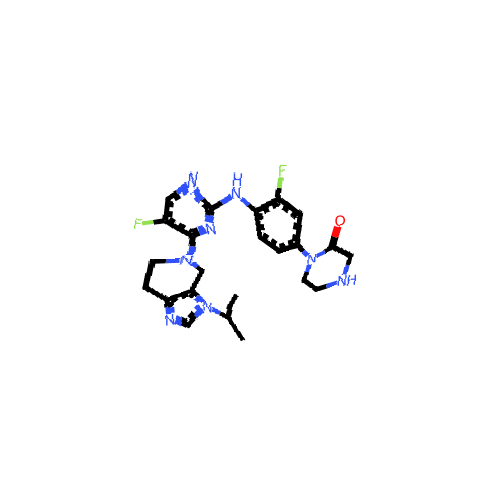 CC(C)n1cnc2c1CN(c1nc(Nc3ccc(N4CCNCC4=O)cc3F)ncc1F)CC2